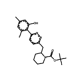 Cc1cc(O)c(-c2ccc(CC3CCCCN3C(=O)OC(C)(C)C)nn2)c(F)c1